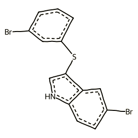 Brc1cccc(Sc2c[nH]c3ccc(Br)cc23)c1